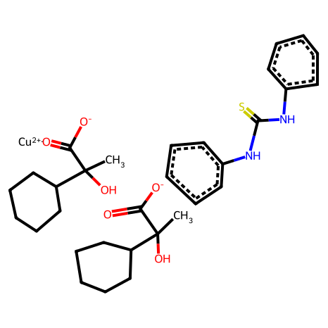 CC(O)(C(=O)[O-])C1CCCCC1.CC(O)(C(=O)[O-])C1CCCCC1.S=C(Nc1ccccc1)Nc1ccccc1.[Cu+2]